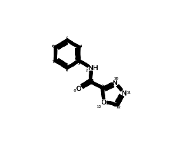 O=C(Nc1ccccc1)c1nnco1